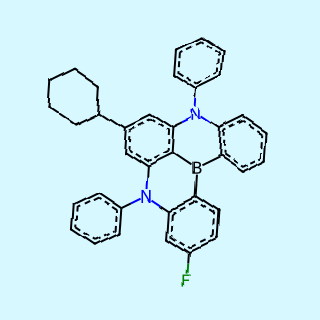 Fc1ccc2c(c1)N(c1ccccc1)c1cc(C3CCCCC3)cc3c1B2c1ccccc1N3c1ccccc1